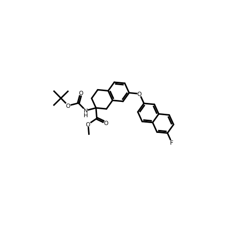 COC(=O)C1(NC(=O)OC(C)(C)C)CCc2ccc(Oc3ccc4cc(F)ccc4c3)cc2C1